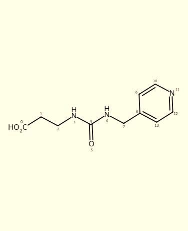 O=C(O)CCNC(=O)NCc1ccncc1